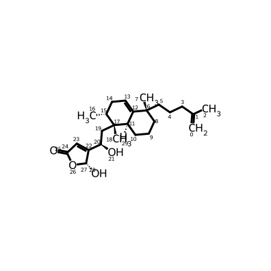 C=C(C)CCC[C@]1(C)CCC[C@@H]2C1=CC[C@@H](C)[C@@]2(C)C[C@@H](O)C1=CC(=O)O[C@H]1O